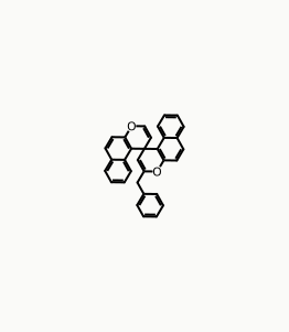 C1=CC2(C=C(Cc3ccccc3)Oc3ccc4ccccc4c32)c2c(ccc3ccccc23)O1